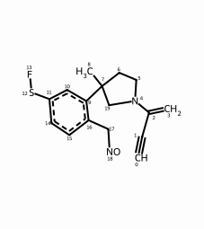 C#CC(=C)N1CCC(C)(c2cc(SF)ccc2CN=O)C1